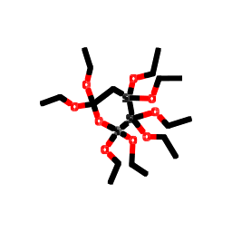 CCOC1(OCC)C[Si](OCC)(OCC)[Si](OCC)(OCC)[Si](OCC)(OCC)O1